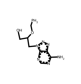 Nc1ncnc2c1nnn2CC(CO)OCP